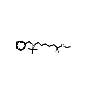 CCOC(=O)CCCCCN(Cc1ccccc1)C(C)(C)C